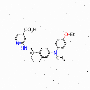 CCOc1ccc(N(C)c2ccc3c(c2)CCC[C@H]3CNc2cc(C(=O)O)ccn2)cc1